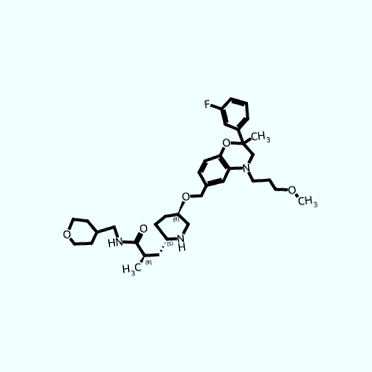 COCCCN1CC(C)(c2cccc(F)c2)Oc2ccc(CO[C@@H]3CC[C@@H](C[C@@H](C)C(=O)NCC4CCOCC4)NC3)cc21